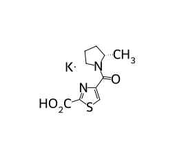 C[C@H]1CCCN1C(=O)c1csc(C(=O)O)n1.[K]